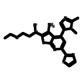 CCOCC[S+]([O-])c1sc2nc(-c3nccs3)cc(-c3cnc(C)n3C)c2c1N